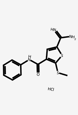 CSc1sc(C(=N)N)cc1C(=O)Nc1ccccc1.Cl